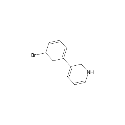 BrC1C=CC=C(C2=CC=CNC2)C1